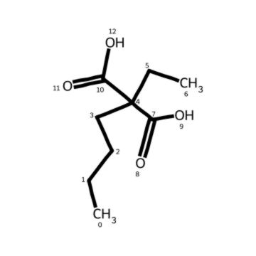 CCCCC(CC)(C(=O)O)C(=O)O